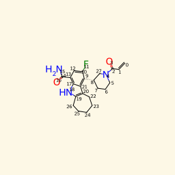 C=CC(=O)N1CCC[C@H](c2c(F)cc(C(N)=O)c3[nH]c4c(c23)CCCCC4)C1